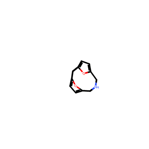 c1cc2oc1CNCc1ccc(o1)C2